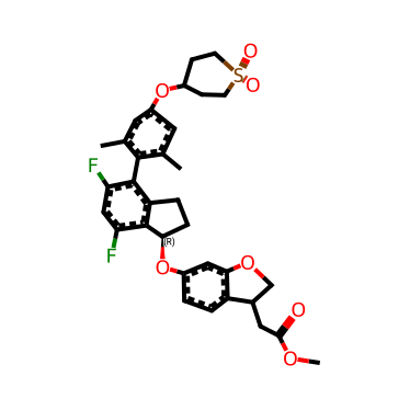 COC(=O)CC1COc2cc(O[C@@H]3CCc4c(-c5c(C)cc(OC6CCS(=O)(=O)CC6)cc5C)c(F)cc(F)c43)ccc21